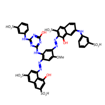 COc1cc(N=Nc2cc(S(=O)(=O)O)cc3cc(S(=O)(=O)O)cc(O)c23)c(Nc2nc(O)nc(Nc3cccc(S(=O)(=O)O)c3)n2)cc1N=Nc1c(S(=O)(=O)O)cc2ccc(Nc3cccc(S(=O)(=O)O)c3)cc2c1O